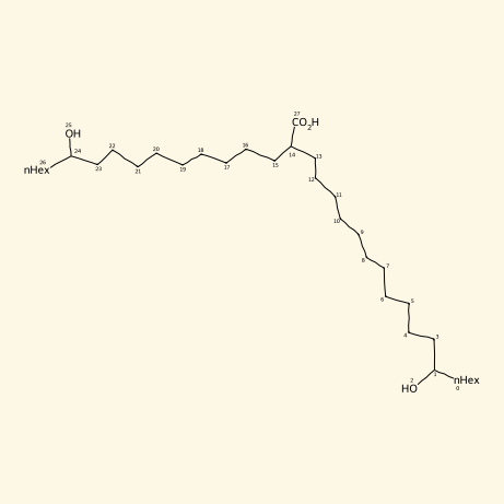 CCCCCCC(O)CCCCCCCCCCCC(CCCCCCCCCC(O)CCCCCC)C(=O)O